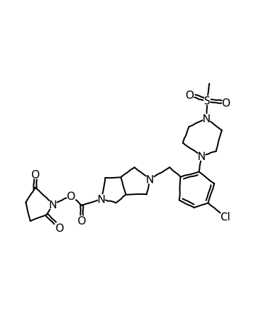 CS(=O)(=O)N1CCN(c2cc(Cl)ccc2CN2CC3CN(C(=O)ON4C(=O)CCC4=O)CC3C2)CC1